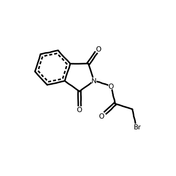 O=C(CBr)ON1C(=O)c2ccccc2C1=O